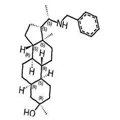 C[C@H](NCc1ccccc1)[C@H]1CC[C@H]2[C@@H]3CC[C@@H]4C[C@](C)(O)CC[C@@H]4[C@H]3CC[C@]12C